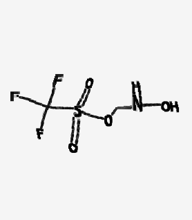 O=S(=O)(ONO)C(F)(F)F